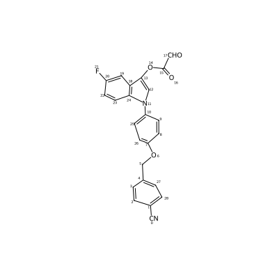 N#Cc1ccc(COc2ccc(-n3cc(OC(=O)C=O)c4cc(F)ccc43)cc2)cc1